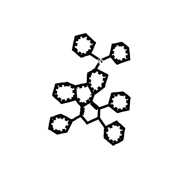 c1ccc(C2=c3c(c4ccc(N(c5ccccc5)c5ccccc5)cc4c4ccccc34)=C(c3ccccc3)C(c3ccccc3)C2)cc1